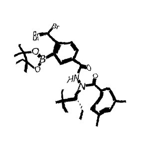 CC[C@@H](N(NC(=O)c1ccc(C(Br)Br)c(B2OC(C)(C)C(C)(C)O2)c1)C(=O)c1cc(C)cc(C)c1)C(C)(C)C